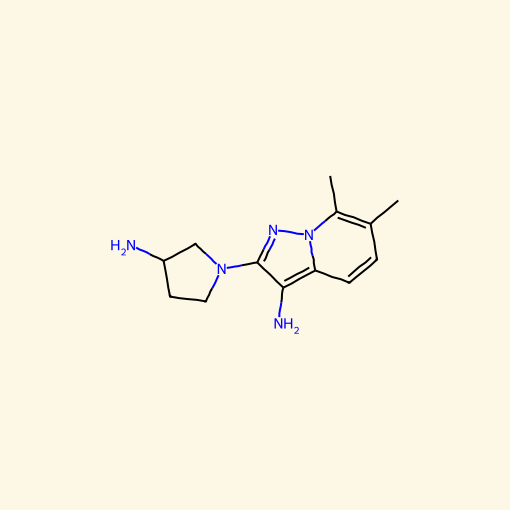 Cc1ccc2c(N)c(N3CCC(N)C3)nn2c1C